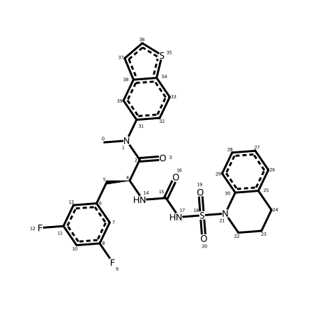 CN(C(=O)[C@H](Cc1cc(F)cc(F)c1)NC(=O)NS(=O)(=O)N1CCCc2ccccc21)c1ccc2sccc2c1